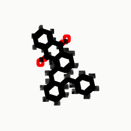 O=C1c2ccccc2C(=O)c2c(Cc3ccccc3Cc3ccccc3)cccc21